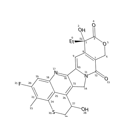 CC[C@@]1(O)C(=O)OCc2c1cc1n(c2=O)Cc2c-1nc1cc(F)c(C)c3c1c2C(O)CS3